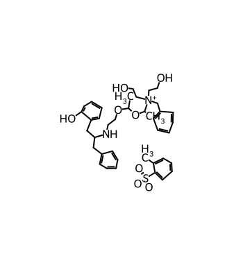 CC(OCCNC(Cc1ccccc1)Cc1ccccc1O)OC(C)[N+](CCO)(CCO)Cc1ccccc1.Cc1ccccc1S(=O)(=O)[O-]